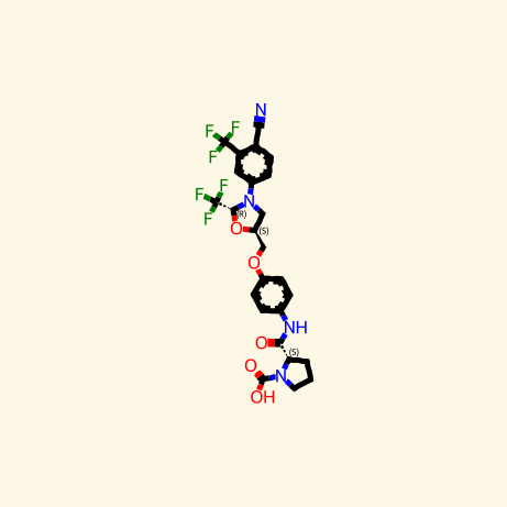 N#Cc1ccc(N2C[C@@H](COc3ccc(NC(=O)[C@@H]4CCCN4C(=O)O)cc3)O[C@@H]2C(F)(F)F)cc1C(F)(F)F